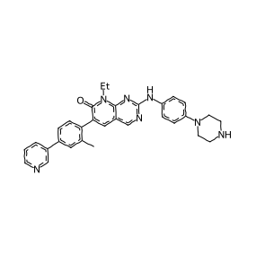 CCn1c(=O)c(-c2ccc(-c3cccnc3)cc2C)cc2cnc(Nc3ccc(N4CCNCC4)cc3)nc21